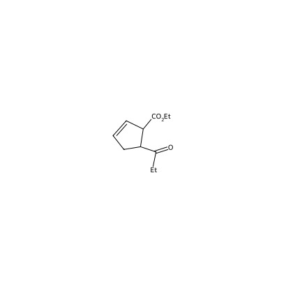 CCOC(=O)C1C=CCC1C(=O)CC